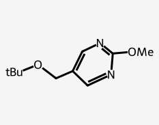 COc1ncc(COC(C)(C)C)cn1